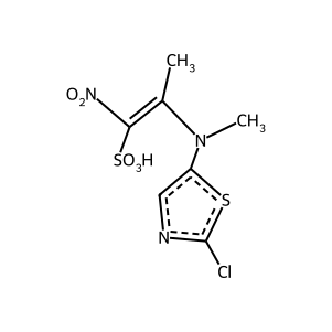 CC(=C([N+](=O)[O-])S(=O)(=O)O)N(C)c1cnc(Cl)s1